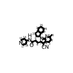 Cc1ccc2c(C#N)c(/C=C/C(=O)Nc3ccncc3)n(C3CCc4ccccc43)c2n1